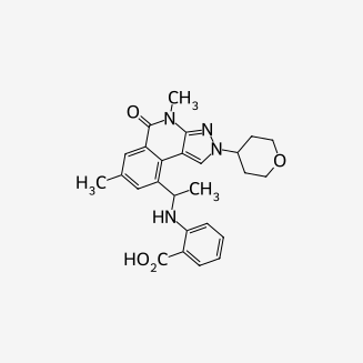 Cc1cc(C(C)Nc2ccccc2C(=O)O)c2c(c1)c(=O)n(C)c1nn(C3CCOCC3)cc21